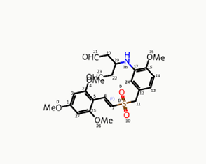 COc1cc(OC)c(/C=C/S(=O)(=O)Cc2ccc(OC)c(NC(CC=O)CC=O)c2)c(OC)c1